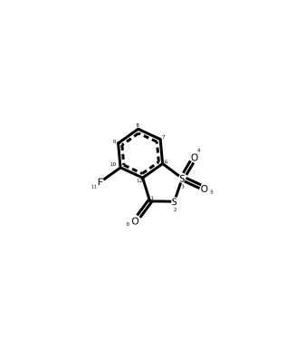 O=C1SS(=O)(=O)c2cccc(F)c21